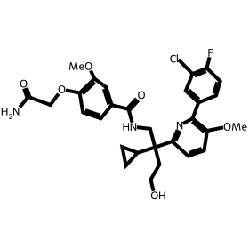 COc1cc(C(=O)NCC(CCO)(c2ccc(OC)c(-c3ccc(F)c(Cl)c3)n2)C2CC2)ccc1OCC(N)=O